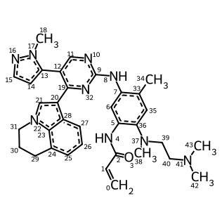 C=CC(=O)Nc1cc(Nc2ncc(-c3ccnn3C)c(-c3cn4c5c(cccc35)CCC4)n2)c(C)cc1N(C)CCN(C)C